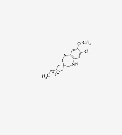 CCCCC1(CC)CNc2cc(Cl)c(OC)cc2SC1